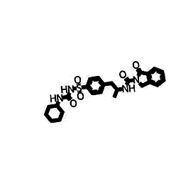 CC(Cc1ccc(S(=O)(=O)NC(=O)NC2CCCCC2)cc1)NC(=O)N1Cc2ccccc2C1=O